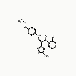 CCOc1ccc(NC=C(C(=O)c2ccccc2Cl)c2cc(C)no2)cc1